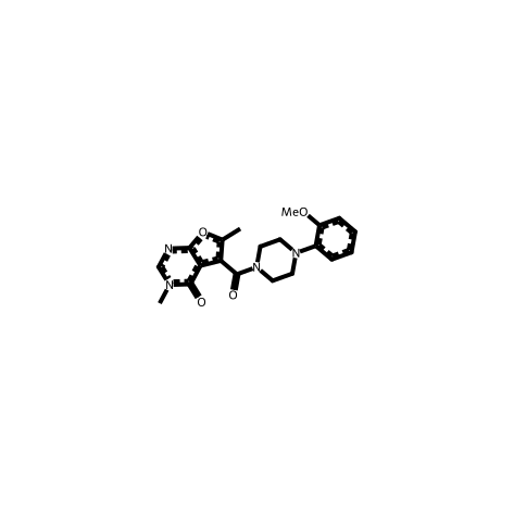 COc1ccccc1N1CCN(C(=O)c2c(C)oc3ncn(C)c(=O)c23)CC1